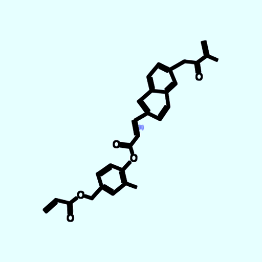 C=CC(=O)OCc1ccc(OC(=O)/C=C/c2ccc3cc(CC(=O)C(=C)C)ccc3c2)c(C)c1